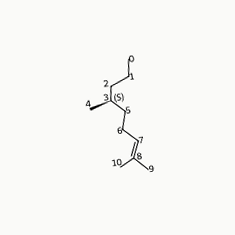 CCC[C@H](C)CCC=C(C)C